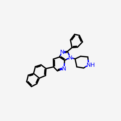 c1ccc(-c2nc3cc(-c4ccc5ccccc5c4)cnc3n2C2CCNCC2)cc1